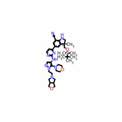 CC(C)(C)[Si](C)(C)OC[C@@]1(C)CNc2c(C#N)cc(-c3ccnc(Nc4cnn(CCN5CC6COCC6C5)c4N4CCOCC4)n3)cc21